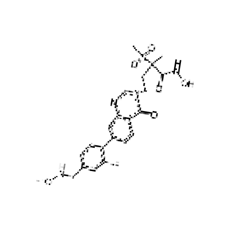 CONCc1ccc(-c2ccc3c(=O)n(CCC(C)(C(=O)NO)S(C)(=O)=O)cnc3c2)c(F)c1